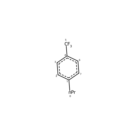 CCCc1[c]cc(C(F)(F)F)cc1